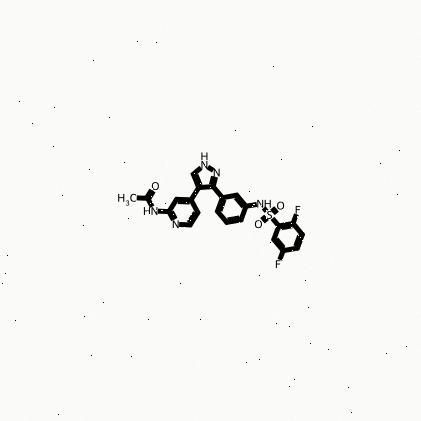 CC(=O)Nc1cc(-c2c[nH]nc2-c2cccc(NS(=O)(=O)c3cc(F)ccc3F)c2)ccn1